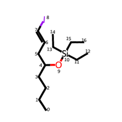 CCCCC(CC=CI)O[Si](CC)(CC)CC